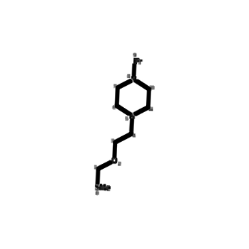 CSCOCCN1CCN(C(C)C)CC1